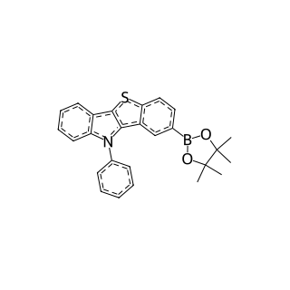 CC1(C)OB(c2ccc3sc4c5ccccc5n(-c5ccccc5)c4c3c2)OC1(C)C